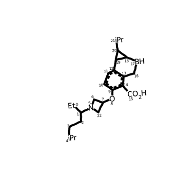 CCC(CCC(C)C)N1CC(Oc2ccc3c(c2C(=O)O)CBC2C3C2C(C)C)C1